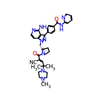 CN1CCN(C(C)(C)C=C(C#N)C(=O)N2CCC[C@H]2Cn2nc(-c3ccc(C(=O)Nc4ccccn4)cc3)c3c(N)nccc32)CC1